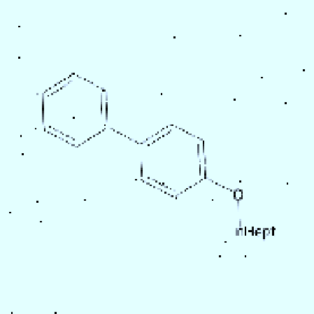 [CH2]CCCCCCOc1ccc(-c2cc[c]cc2)cc1